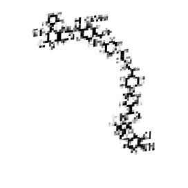 CC[C@@H]1C(=O)N(C)c2cnc(Nc3ccc(C(=O)NC4CCN(CCOCCC5CCN(c6ncc(C(=O)N[C@H]7C(C)(C)[C@H](Oc8ccc(C#N)c(Cl)c8)C7(C)C)cn6)CC5)CC4)cc3OC)nc2N1C1CCCC1